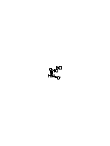 Cl.Cl.O=[NH+][O-]